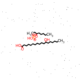 CCCCCC(CC)OP(=O)(O)O.CCCCCCC(O)CCCCCCCCCCC(=O)O